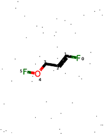 FC=CCOF